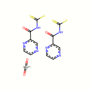 O=C(NC(=S)[S-])c1cnccn1.O=C(NC(=S)[S-])c1cnccn1.[O]=[Mo+2]=[O]